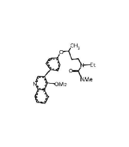 CCN(CCC(C)Oc1ccc(-c2cnc3ccccc3c2OC)cc1)C(=O)NC